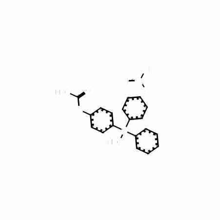 CC(=O)Oc1ccc([P+](C)(c2ccccc2)c2ccccc2)cc1.[Cl][Cu-]([Cl])[Cl]